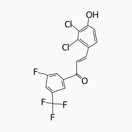 O=C(C=Cc1ccc(O)c(Cl)c1Cl)c1cc(F)cc(C(F)(F)F)c1